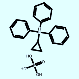 O=P(O)(O)O.c1ccc([PH](c2ccccc2)(c2ccccc2)C2CC2)cc1